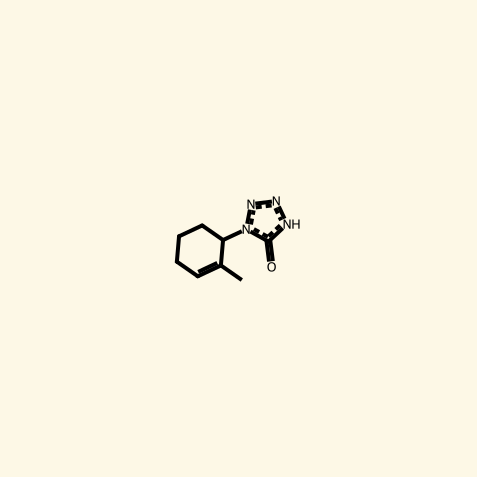 CC1=CCCCC1n1nn[nH]c1=O